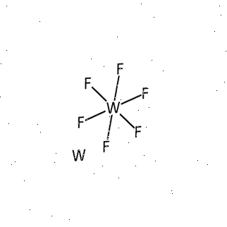 [F][W]([F])([F])([F])([F])[F].[W]